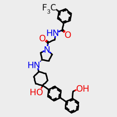 O=C(NCC(=O)N1CC[C@H](NC2CCC(O)(c3ccc(-c4ccccc4CO)cc3)CC2)C1)c1cccc(C(F)(F)F)c1